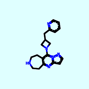 c1ccc(CC2CN(c3c4c(nc5ccnn35)CCNCC4)C2)nc1